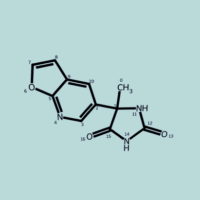 CC1(c2cnc3occc3c2)NC(=O)NC1=O